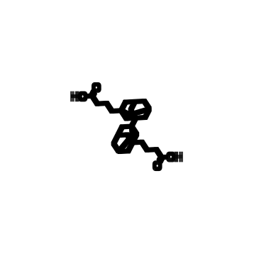 O=C(O)CCCC12CC3CC(C1)CC(C14CC5CC(CC(CCCC(=O)O)(C5)C1)C4)(C3)C2